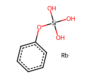 O[Si](O)(O)Oc1ccccc1.[Rb]